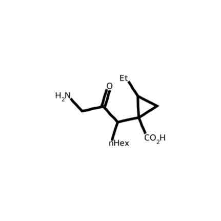 CCCCCCC(C(=O)CN)C1(C(=O)O)CC1CC